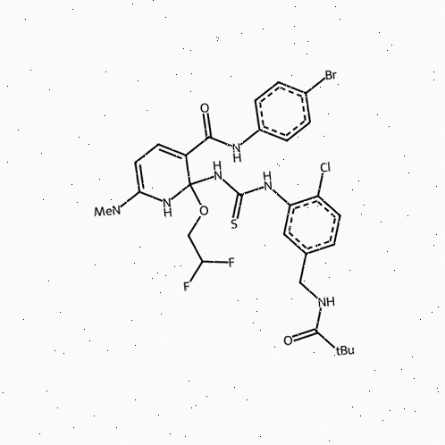 CNC1=CC=C(C(=O)Nc2ccc(Br)cc2)C(NC(=S)Nc2cc(CNC(=O)C(C)(C)C)ccc2Cl)(OCC(F)F)N1